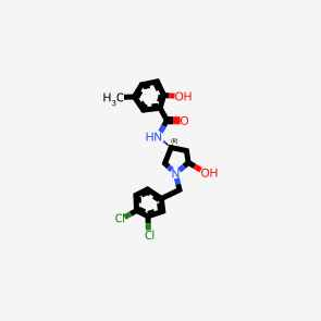 Cc1ccc(O)c(C(=O)N[C@@H]2CC(O)N(Cc3ccc(Cl)c(Cl)c3)C2)c1